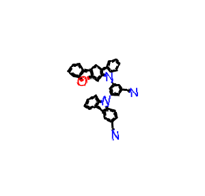 N#Cc1cc(-n2c3ccccc3c3cc(C#N)ccc32)cc(-n2c3ccccc3c3cc4c(cc32)oc2ccccc24)c1